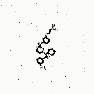 CCN(CC)CCOc1cccc(Nc2nccc(-c3c(-c4cccc(N)c4)nn4ccccc34)n2)c1